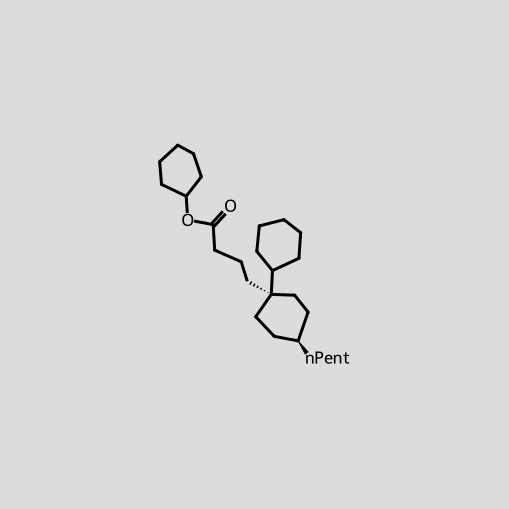 CCCCC[C@H]1CC[C@@](CCCC(=O)OC2CCCCC2)(C2CCCCC2)CC1